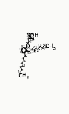 CCCCCCCCCc1cccc(OCCCS(=O)(=O)O)c1CCCCCCCCC